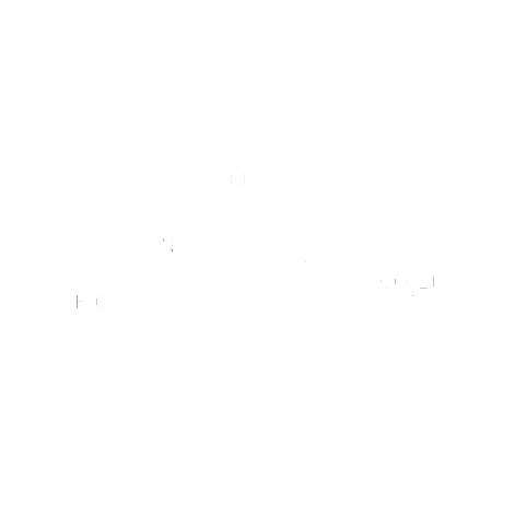 CCOC(=O)/C=C/c1ccc(C(F)(F)F)nc1Cl